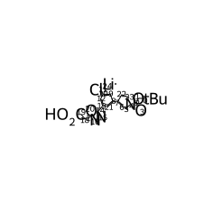 CC(C)(C)OC(=O)N1CC=C(c2cc(Cl)cc(-c3nnc(CC(=O)O)o3)c2)CC1.[Li]